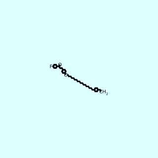 C=Cc1ccc(CCCCCCCCCCCCCCCCCCOc2ccc(/C=C/C(=O)c3ccc(F)cc3)cc2)cc1